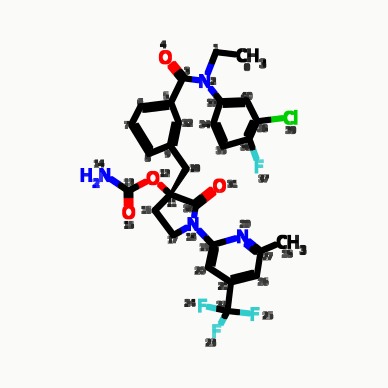 CCN(C(=O)c1cccc(C[C@]2(OC(N)=O)CCN(c3cc(C(F)(F)F)cc(C)n3)C2=O)c1)c1ccc(F)c(Cl)c1